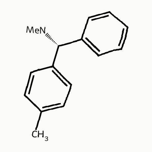 CN[C@H](c1ccccc1)c1ccc(C)cc1